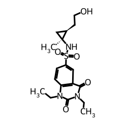 CCn1c(=O)c2cc(S(=O)(=O)N[C@@]3(C)C[C@H]3CCO)ccc2n(CC)c1=O